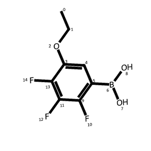 CCOc1cc(B(O)O)c(F)c(F)c1F